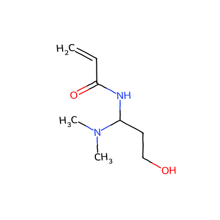 C=CC(=O)NC(CCO)N(C)C